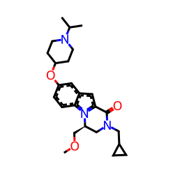 COC[C@@H]1CN(CC2CC2)C(=O)c2cc3cc(OC4CCN(C(C)C)CC4)ccc3n21